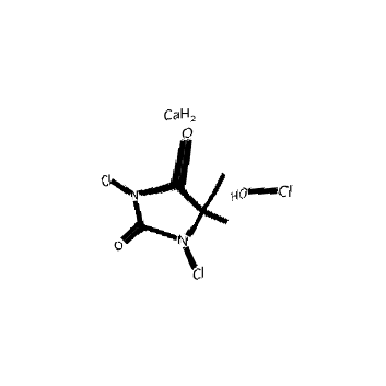 CC1(C)C(=O)N(Cl)C(=O)N1Cl.OCl.[CaH2]